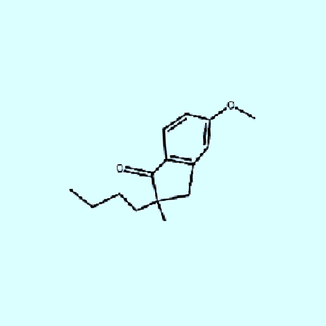 CCCCC1(C)Cc2cc(OC)ccc2C1=O